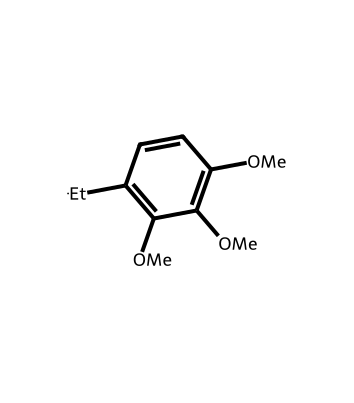 C[CH]c1ccc(OC)c(OC)c1OC